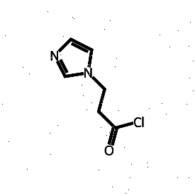 O=C(Cl)CCn1ccnc1